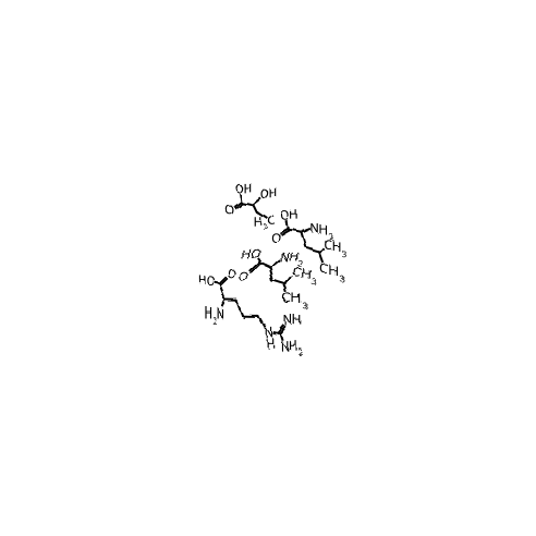 CC(C)CC(N)C(=O)O.CC(C)CC(N)C(=O)O.CCC(O)C(=O)O.N=C(N)NCCCC(N)C(=O)O